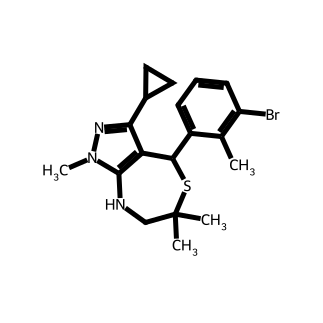 Cc1c(Br)cccc1C1SC(C)(C)CNc2c1c(C1CC1)nn2C